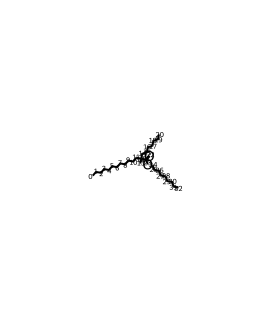 CCCCCCCCCCCCC(C)(CCCCCCC)C(=O)OCCCCCCCCC